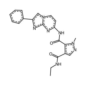 CCNC(=O)c1cnn(C)c1C(=O)Nc1ccn2cc(-c3ccccc3)nc2n1